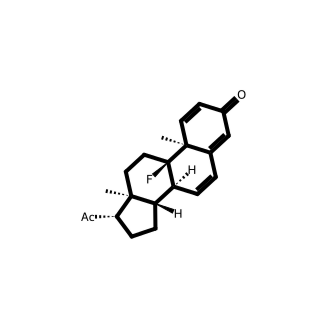 CC(=O)[C@H]1CC[C@H]2[C@@H]3C=CC4=CC(=O)C=C[C@]4(C)[C@@]3(F)CC[C@]12C